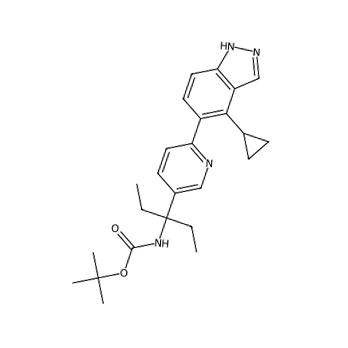 CCC(CC)(NC(=O)OC(C)(C)C)c1ccc(-c2ccc3[nH]ncc3c2C2CC2)nc1